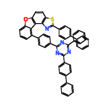 c1ccc(-c2ccc(-c3nc(-c4ccccc4)nc(-c4ccc(-c5cccc6oc7ccc8sc(-c9ccc(-c%10ccccc%10)cc9)nc8c7c56)cc4)n3)cc2)cc1